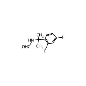 CC(C)(NC=O)c1ccc(F)cc1F